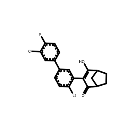 CCc1ccc(-c2ccc(F)c(Cl)c2)cc1C1=C(O)C2CCC(C2)C1=O